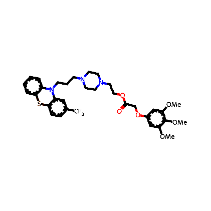 COc1cc(OCC(=O)OCCN2CCN(CCCN3c4ccccc4Sc4ccc(C(F)(F)F)cc43)CC2)cc(OC)c1OC